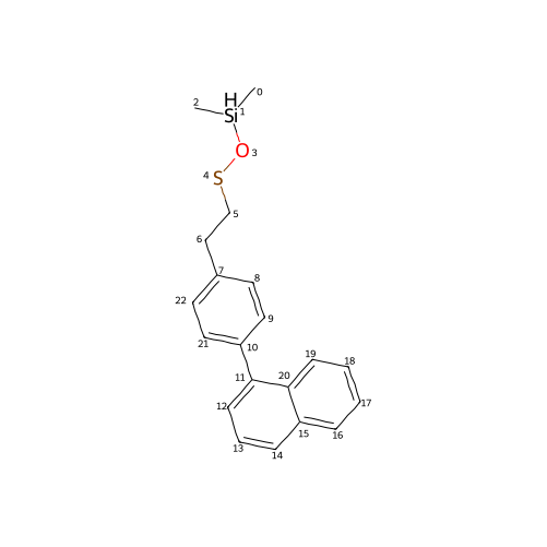 C[SiH](C)OSCCc1ccc(-c2cccc3ccccc23)cc1